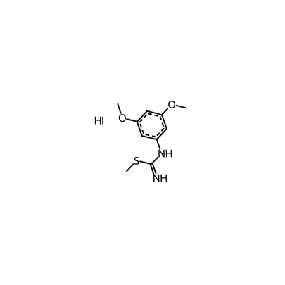 COc1cc(NC(=N)SC)cc(OC)c1.I